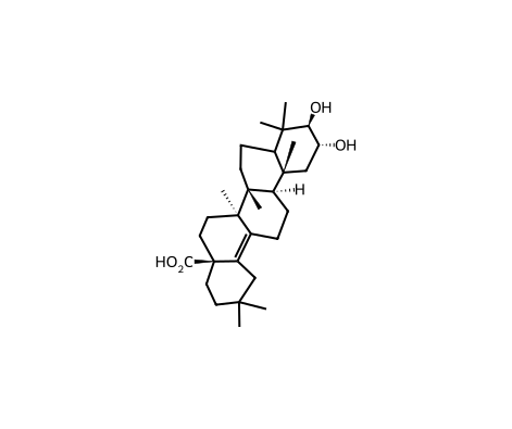 CC1(C)CC[C@]2(C(=O)O)CC[C@]3(C)C(=C2C1)CC[C@@H]1[C@@]2(C)C[C@@H](O)[C@H](O)C(C)(C)C2CC[C@]13C